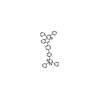 c1ccc(-c2cc(-c3ccc(-c4ccc(-c5cc6nc(-c7ccccc7)cc(-c7ccccc7)c6c6ccccc56)cc4)cc3)nc(-c3ccccc3)n2)cc1